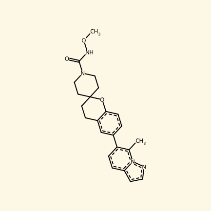 CONC(=O)N1CCC2(CCc3cc(-c4ccc5ccnn5c4C)ccc3O2)CC1